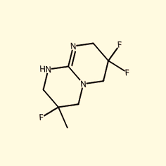 CC1(F)CNC2=NCC(F)(F)CN2C1